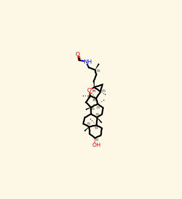 C[C@@H](CC[C@@]12C[C@@]1(C)[C@@]1(C)[C@@]3(C)CC[C@@]4(C)C(CC[C@@]5(C)C[C@@H](O)CC[C@@]54C)[C@]3(C)C[C@@]1(C)O2)CNC=O